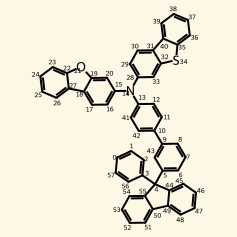 c1ccc(C2(c3cccc(-c4ccc(N(c5ccc6c(c5)oc5ccccc56)c5ccc6c(c5)sc5ccccc56)cc4)c3)c3ccccc3-c3ccccc32)cc1